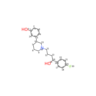 Oc1cccc(C2CCCN(CCCC(O)c3ccc(F)cc3)C2)c1